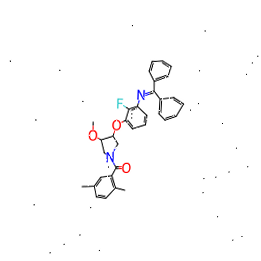 COC1CN(C(=O)c2cc(C)ccc2C)CC1Oc1cccc(N=C(c2ccccc2)c2ccccc2)c1F